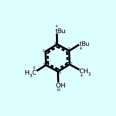 Cc1cc(C(C)(C)C)c(C(C)(C)C)c(C)c1O